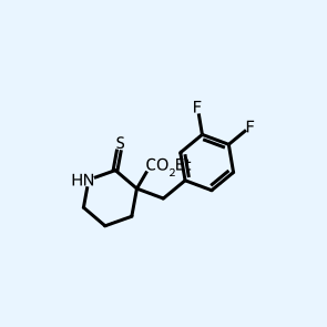 CCOC(=O)C1(Cc2ccc(F)c(F)c2)CCCNC1=S